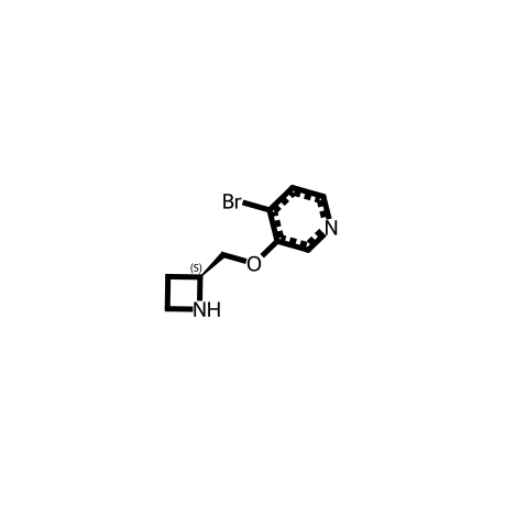 Brc1ccncc1OC[C@@H]1CCN1